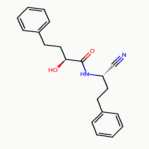 N#C[C@H](CCc1ccccc1)NC(=O)[C@@H](O)CCc1ccccc1